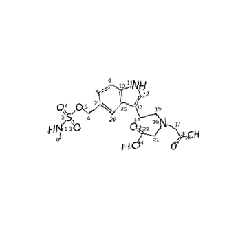 CNS(=O)(=O)OCc1ccc2[nH]cc(CCN(CC(=O)O)CC(=O)O)c2c1